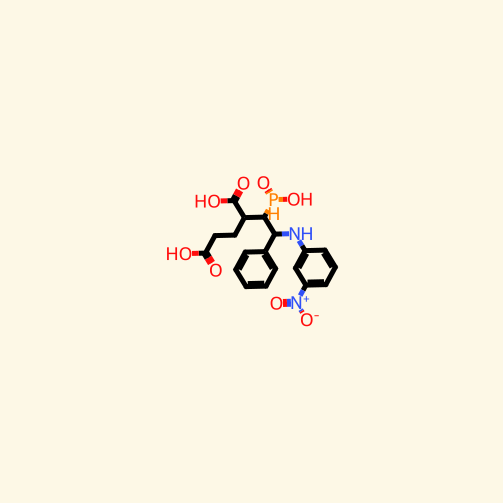 O=C(O)CCC(C(=O)O)C(C(Nc1cccc([N+](=O)[O-])c1)c1ccccc1)[PH](=O)O